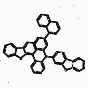 c1cc(-c2cccc3ccccc23)cc(N(c2ccc3c(c2)oc2ccccc23)c2ccccc2-c2cccc3c2sc2ccccc23)c1